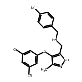 Cc1n[nH]c(CNCc2ccc(C#N)cc2)c1Oc1cc(Cl)cc(C#N)c1